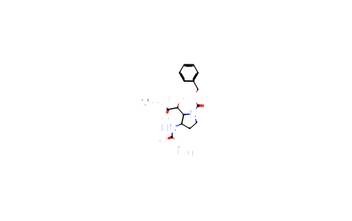 COC(=O)C(O)C1C(NC(=O)OC(C)(C)C)CCN1C(=O)OCc1ccccc1